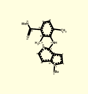 CCCCn1ccc2c(Nc3c(C)ccc(C(=O)NC)c3C)nccc21